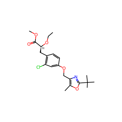 CCO[C@@H](Cc1ccc(OCc2nc(C(C)(C)C)oc2C)cc1Cl)C(=O)OC